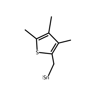 Cc1sc([CH2][Sn])c(C)c1C